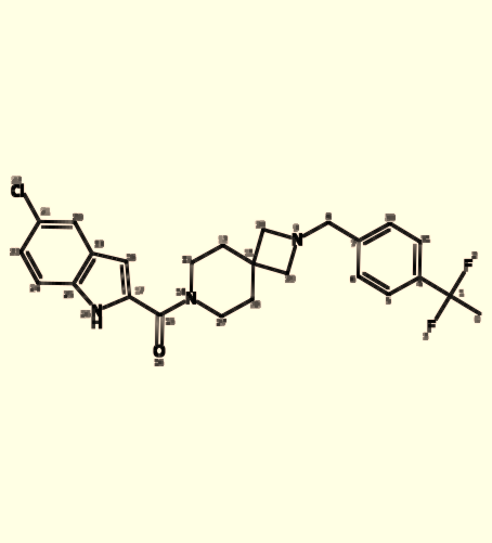 CC(F)(F)c1ccc(CN2CC3(CCN(C(=O)c4cc5cc(Cl)ccc5[nH]4)CC3)C2)cc1